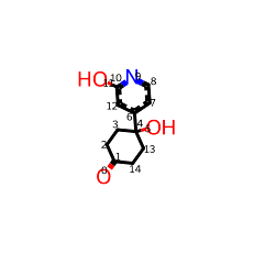 O=C1CCC(O)(c2ccnc(O)c2)CC1